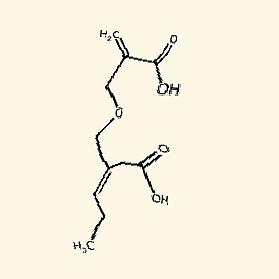 C=C(COCC(=CCC)C(=O)O)C(=O)O